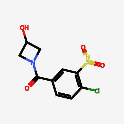 O=C(c1ccc(Cl)c([SH](=O)=O)c1)N1CC(O)C1